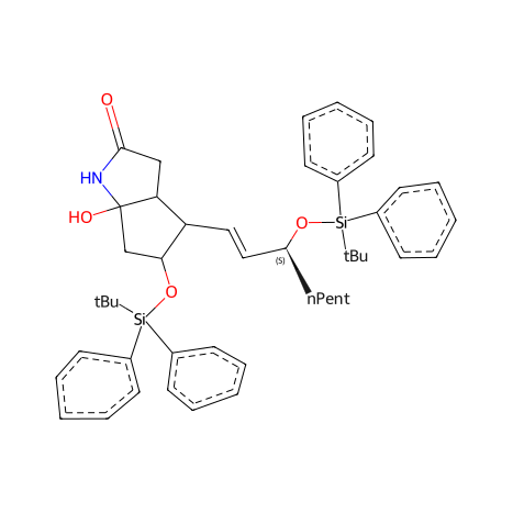 CCCCC[C@@H](C=CC1C(O[Si](c2ccccc2)(c2ccccc2)C(C)(C)C)CC2(O)NC(=O)CC12)O[Si](c1ccccc1)(c1ccccc1)C(C)(C)C